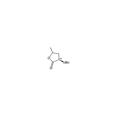 CCCC[C@@H]1CC(C)OC1=O